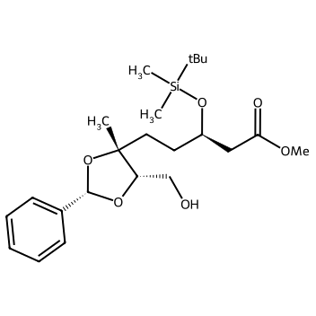 COC(=O)C[C@@H](CC[C@@]1(C)O[C@@H](c2ccccc2)O[C@H]1CO)O[Si](C)(C)C(C)(C)C